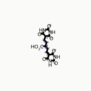 O=C1NC(=O)C(=C/C=C(/C=C/C2C(=O)NC(=O)NC2=O)C(=O)O)C(=O)N1